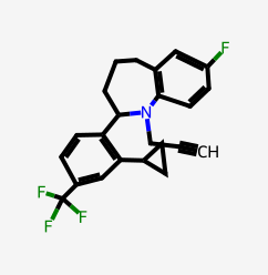 C#CCN1c2ccc(F)cc2CCCC1c1ccc(C(F)(F)F)cc1C1CC1